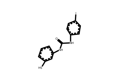 O=C(Nc1ccc(I)cc1)Nc1cccc(S)c1